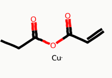 C=CC(=O)OC(=O)CC.[Cu]